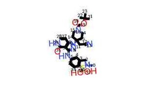 CN1Cc2cc(Nc3nn(C4(CC#N)CCN(C(=O)OC(C)(C)C)CC4)c4cc[nH]c(=O)c34)ccc2S1(O)O